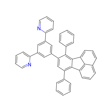 c1ccc(-c2cc(-c3cc(-c4ccccn4)cc(-c4ccccn4)c3)c(-c3ccccc3)c3c2-c2cccc4cccc-3c24)cc1